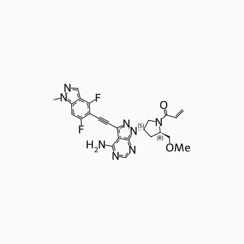 C=CC(=O)N1C[C@@H](n2nc(C#Cc3c(F)cc4c(cnn4C)c3F)c3c(N)ncnc32)C[C@@H]1COC